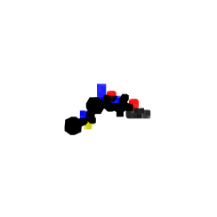 COC(=O)c1c(C)[nH]c(/C=C2\C(=O)Nc3ccc(-c4csc(-c5ccccc5)n4)cc32)c1C